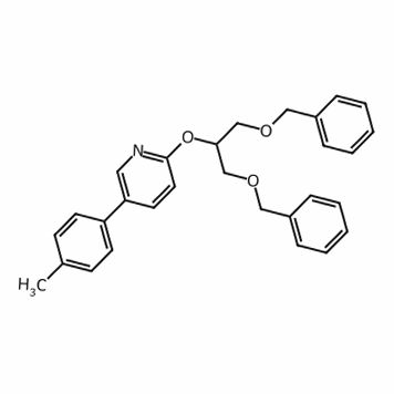 Cc1ccc(-c2ccc(OC(COCc3ccccc3)COCc3ccccc3)nc2)cc1